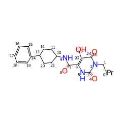 CC(C)Cn1c(=O)[nH]c(C(=O)NC2CCC(c3ccccc3)CC2)c(O)c1=O